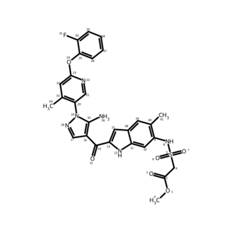 COC(=O)CS(=O)(=O)Nc1cc2[nH]c(C(=O)c3cnn(-c4cnc(Oc5ccccc5F)cc4C)c3N)cc2cc1C